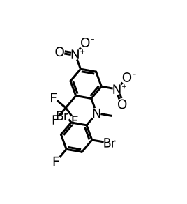 CN(c1c(Br)cc(F)cc1Br)c1c([N+](=O)[O-])cc([N+](=O)[O-])cc1C(F)(F)F